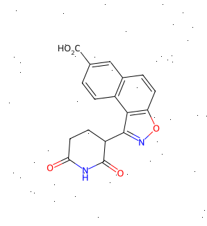 O=C1CCC(c2noc3ccc4cc(C(=O)O)ccc4c23)C(=O)N1